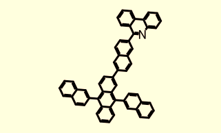 c1ccc2cc(-c3c4ccccc4c(-c4ccc5ccccc5c4)c4cc(-c5ccc6cc(-c7nc8ccccc8c8ccccc78)ccc6c5)ccc34)ccc2c1